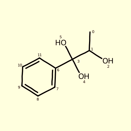 CC(O)C(O)(O)c1ccccc1